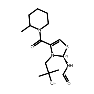 CC1CCCCN1C(=O)C1=CS[C@@H](NC=O)N1CC(C)(C)O